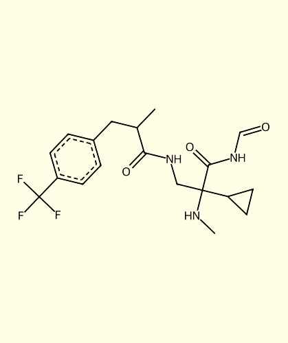 CNC(CNC(=O)C(C)Cc1ccc(C(F)(F)F)cc1)(C(=O)NC=O)C1CC1